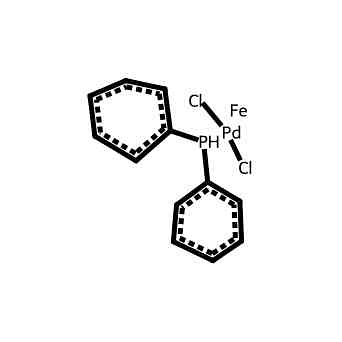 [Cl][Pd][Cl].[Fe].c1ccc(Pc2ccccc2)cc1